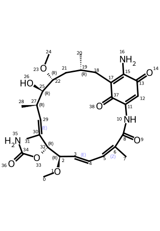 CO[C@@H]1/C=C/C=C(/C)C(=O)NC2=CC(=O)C(N)=C(C[C@@H](C)C[C@@H](OC)[C@H](O)[C@H](C)/C=C(\C)[C@H]1OC(N)=O)C2=O